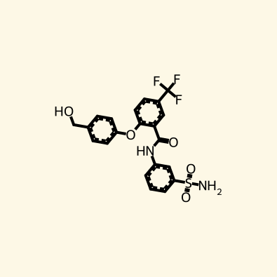 NS(=O)(=O)c1cccc(NC(=O)c2cc(C(F)(F)F)ccc2Oc2ccc(CO)cc2)c1